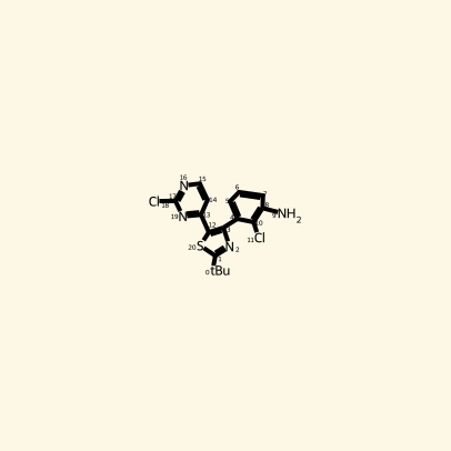 CC(C)(C)c1nc(-c2cccc(N)c2Cl)c(-c2ccnc(Cl)n2)s1